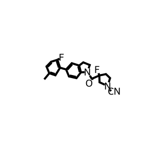 Cc1ccc(F)c(-c2ccc3c(c2)CCN3C(=O)C2(F)CCN(C#N)C2)c1